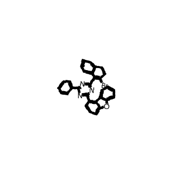 Brc1ccc2ccccc2c1-c1nc(-c2ccccc2)nc(-c2cccc3oc4ccccc4c23)n1